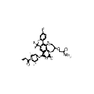 C=CC(=O)N1[C@H](C)CN(c2nc(=O)n3c4c(c(-c5ccc(F)cc5)c(C(F)(F)F)cc24)SC[C@@H](OCC(N)=O)C3)C[C@@H]1C